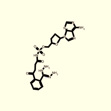 N/N=C(\NN)c1ccccc1C(=O)CCC(=O)NS(=O)(=O)OCC1CCC(n2cnc3c(N)ncnc32)O1